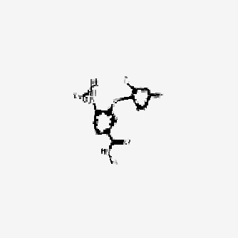 CCNC(=O)c1ccc([N+](=O)[O-])c(Sc2ccc(F)cc2F)c1.CCNCC